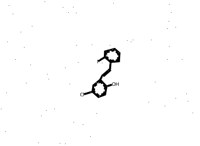 Oc1ccc(Cl)cc1C=Cc1ccccc1I